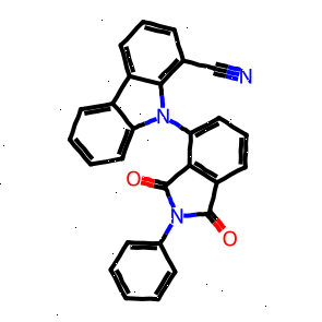 N#Cc1cccc2c3ccccc3n(-c3cccc4c3C(=O)N(c3ccccc3)C4=O)c12